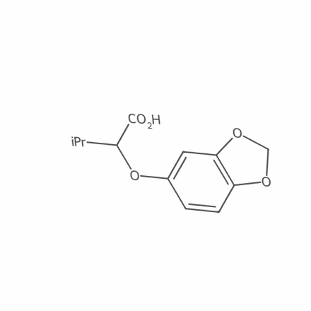 CC(C)C(Oc1ccc2c(c1)OCO2)C(=O)O